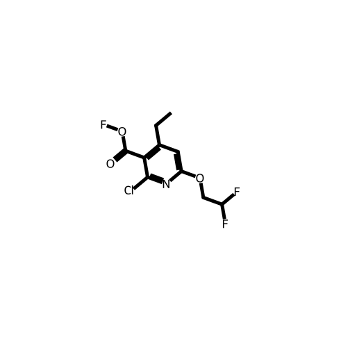 CCc1cc(OCC(F)F)nc(Cl)c1C(=O)OF